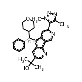 Cc1nnn(C)c1-c1cc2c(cn1)c1ncc(C(C)(C)O)cc1n2[C@H](c1ccccc1)C1CCOCC1